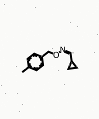 Cc1ccc(CO/N=[C]\C2CC2)cc1